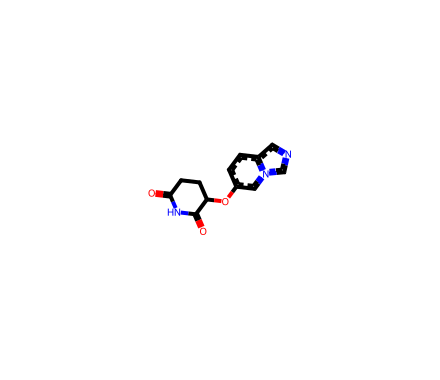 O=C1CCC(Oc2ccc3cncn3c2)C(=O)N1